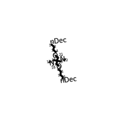 CCCCCCCCCCCCCCOCC(COCCCCCCCCCCCCCC)(CN(C)C)CN(C)C